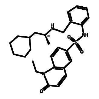 CCn1c(=O)ccc2cc(S(=O)(=O)Nc3ccccc3CN[C@@H](C)CC3CCCCC3)ccc21